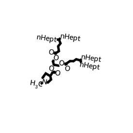 CCCCCCCC(CCCCCCC)CCCC(=O)OCC(COC(=O)CCCC(CCCCCCC)CCCCCCC)OC(=O)C1CCN(C)CC1